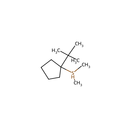 C[SH](C)C1(C(C)(C)C)CCCC1